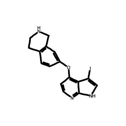 Ic1c[nH]c2nccc(Oc3ccc4c(c3)CNCC4)c12